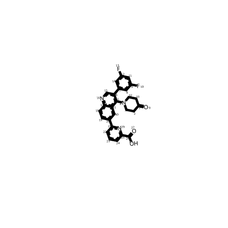 O=C1CCN(c2c(-c3cc(F)cc(F)c3)cnc3ccc(-c4cccc(C(=O)O)n4)cc23)CC1